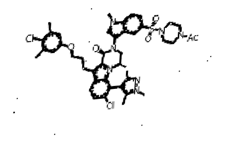 CC(=O)N1CCN(S(=O)(=O)c2ccc3c(c2)c(N2C[C@@H](C)n4c(c(CCCOc5cc(C)c(Cl)c(C)c5)c5ccc(Cl)c(-c6c(C)nn(C)c6C)c54)C2=O)cn3C)CC1